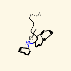 CCC(C)(CCCS(=O)(=O)O)c1c(Nc2ccccc2)ccc2ccccc12